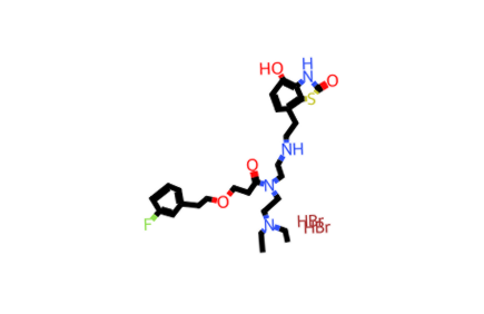 Br.Br.CCN(CC)CCN(CCNCCc1ccc(O)c2[nH]c(=O)sc12)C(=O)CCOCCc1cccc(F)c1